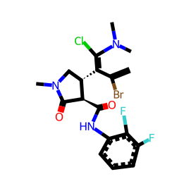 C=C(Br)/C(=C(/Cl)N(C)C)[C@H]1CN(C)C(=O)[C@@H]1C(=O)Nc1cccc(F)c1F